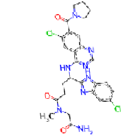 CN(CC(N)=O)C(=O)CCC(Nc1ncnc2cc(C(=O)N3CCCC3)c(Cl)cc12)c1nc2cc(Cl)ccc2[nH]1